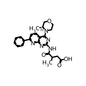 CC(CC(=O)O)C(=O)Nc1nc(N2CCOC[C@@H]2C)c2ccc(-c3ccccc3)nc2n1